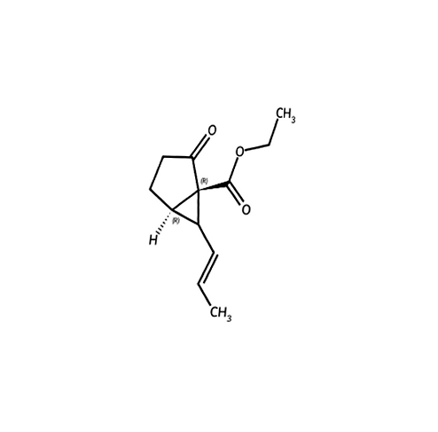 CC=CC1[C@H]2CCC(=O)[C@]12C(=O)OCC